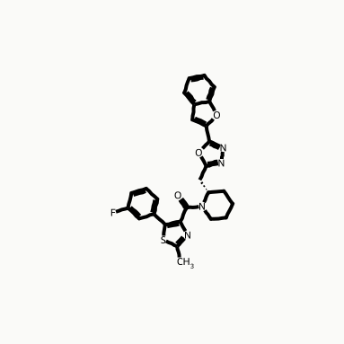 Cc1nc(C(=O)N2CCCC[C@H]2Cc2nnc(-c3cc4ccccc4o3)o2)c(-c2cccc(F)c2)s1